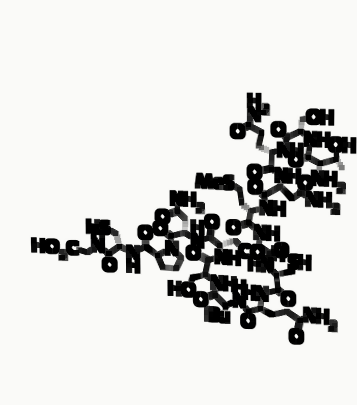 CC[C@H](C)[C@H](NC(=O)[C@H](CCC(N)=O)NC(=O)[C@H](CS)NC(=O)CNC(=O)[C@H](CCSC)NC(=O)[C@H](CC(N)=O)NC(=O)[C@H](CCC(N)=O)NC(=O)[C@H](CO)NC(=O)[C@@H](N)[C@@H](C)O)C(=O)N[C@@H](CO)C(=O)N[C@@H](CC(=O)O)C(=O)N[C@@H](CC(N)=O)C(=O)N1CCC[C@H]1C(=O)N[C@@H](CS)C(=O)NCC(=O)O